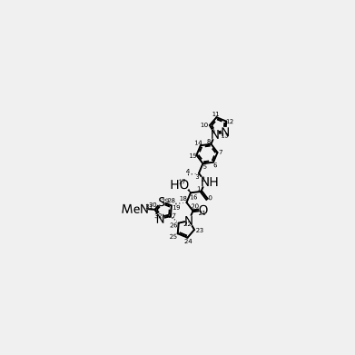 C=C(N[C@H](C)c1ccc(-n2cccn2)cc1)[C@H](O)[C@@H](C)C(=O)N1CC=C[C@@H]1c1csc(NC)n1